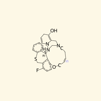 OC1=C2CN3CC/C=C\COc4ccc(F)c5c4[C@H](c4ccccc4SC5)N(C3)N2C=CC1